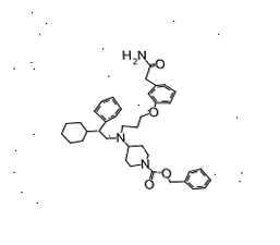 NC(=O)Cc1cccc(OCCCN(CC(c2ccccc2)C2CCCCC2)C2CCN(C(=O)OCc3ccccc3)CC2)c1